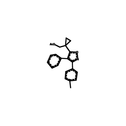 CC(=O)OCC1(c2onc(-c3ccc(C)cc3)c2-c2ccccc2)CC1